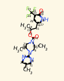 Cc1cnc(N2C[C@@H](C)N(C(=O)OC(C)Cc3c[nH]c(=O)c(C(F)(F)F)c3)C[C@H]2C)nc1